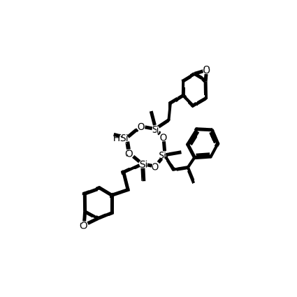 CC(C[Si]1(C)O[Si](C)(CCC2CCC3OC3C2)O[SiH](C)O[Si](C)(CCC2CCC3OC3C2)O1)c1ccccc1